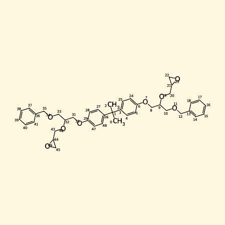 CC(C)(c1ccc(OCC(COCc2ccccc2)OCC2CO2)cc1)c1ccc(OCC(COCc2ccccc2)OCC2CO2)cc1